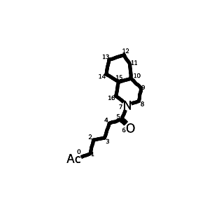 CC(=O)CCCCC(=O)N1CCC2CCCCC2C1